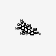 C[C@H]1c2ccc(N)c(O)c2C(=O)C2=C(O)[C@]3(O)C(=O)C(C(N)=O)=C(O)C[C@@H]3[C@@H](O)[C@@H]21